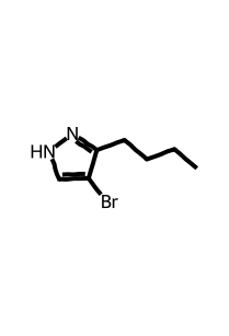 CCCCc1n[nH]cc1Br